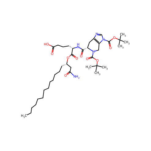 CCCCCCCCCCCCC[C@@H](CC(N)=O)OC(=O)[C@H](CCCC(=O)O)NC(=O)[C@@H]1Cc2ncn(C(=O)OC(C)(C)C)c2CN1C(=O)OC(C)(C)C